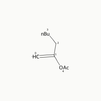 [CH]=C(CCCCC)OC(C)=O